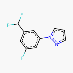 Fc1cc(C(F)F)cc(-n2cccn2)c1